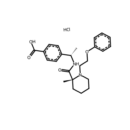 C[C@H](NC(=O)[C@@]1(C)CCCCN1CCOc1ccccc1)c1ccc(C(=O)O)cc1.Cl